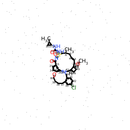 CO[C@H]1/C=C/C[C@H](C)CS(=O)(NC(=O)N[C@@H]2C[C@H]2C)=NC(=O)c2ccc3c(c2)N(Cc2ccc(Cl)cc2CCCCO3)C[C@@H]2CC[C@H]21